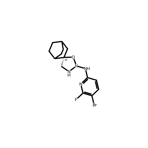 Fc1nc(NN2NC[C@]3(CC4CCC3CC4)O2)ccc1Br